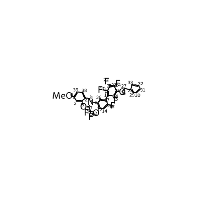 COc1ccc(CN2C(=O)C(F)(F)Oc3cc(F)c(-c4c(F)c(F)c(F)c(OCc5ccccc5)c4F)cc32)cc1